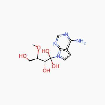 CO[C@H](CO)[C@@H](O)C(O)(O)n1ccc2c(N)ncnc21